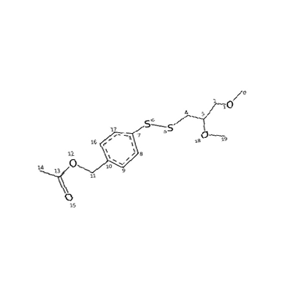 COCC(CSSc1ccc(COC(C)=O)cc1)OC